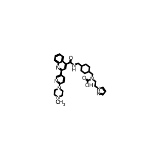 CN1CCN(c2ccc(-c3cc(C(=O)NCC4CCC(CN(CCn5cccn5)C(=O)O)CC4)c4ccccc4n3)cn2)CC1